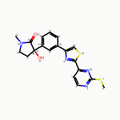 CSc1nccc(-c2nc(-c3cccc([C@]4(O)CCN(C)C4=O)c3)cs2)n1